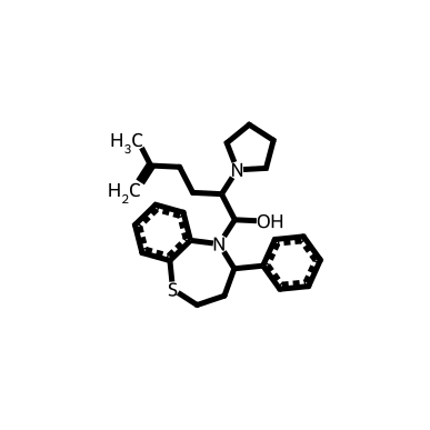 C=C(C)CCC(C(O)N1c2ccccc2SCCC1c1ccccc1)N1CCCC1